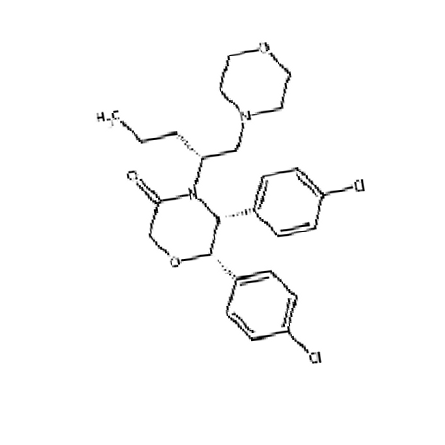 CCC[C@H](CN1CCOCC1)N1C(=O)CO[C@@H](c2ccc(Cl)cc2)[C@H]1c1ccc(Cl)cc1